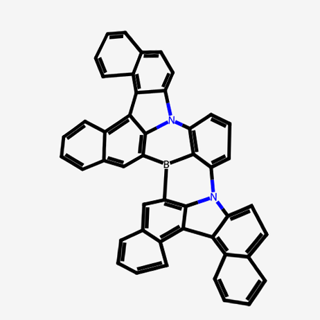 c1cc2c3c(c1)-n1c4ccc5ccccc5c4c4c5ccccc5cc(c41)B3c1cc3ccccc3c3c4c5ccccc5ccc4n-2c13